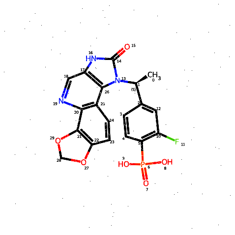 C[C@@H](c1ccc(P(=O)(O)O)c(F)c1)n1c(=O)[nH]c2cnc3c4c(ccc3c21)OCO4